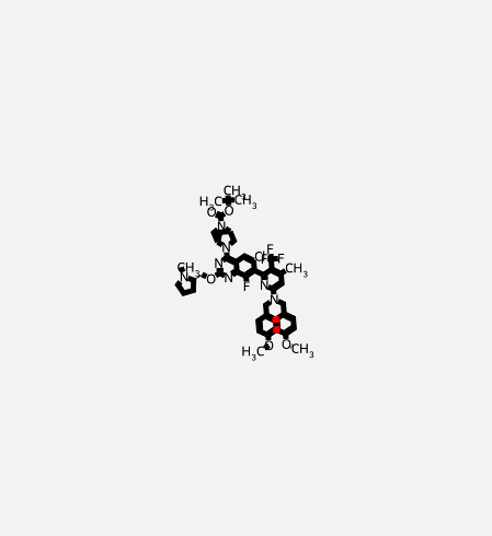 COc1ccc(CN(Cc2ccc(OC)cc2)c2cc(C)c(C(F)(F)F)c(-c3c(Cl)cc4c(N5CC6CC5CN6C(=O)OC(C)(C)C)nc(OC[C@@H]5CCCN5C)nc4c3F)n2)cc1